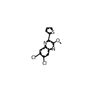 COc1nc2cc(Cl)c(Cl)cc2nc1-c1cccs1